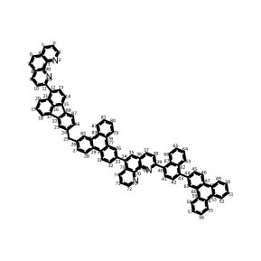 c1cnc2c(c1)ccc1ccc(-c3ccc4c5c(cccc35)-c3cc(Cc5ccc6c7ccc(-c8cc9ccc(-c%10ccc(-c%11ccc%12c%13ccccc%13c%13ccccc%13c%12c%11)c%11ccccc%10%11)nc9c9ncccc89)cc7c7ccccc7c6c5)ccc3-4)nc12